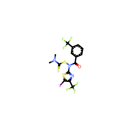 CN(C)C(=S)SN(C(=O)c1cccc(C(F)(F)F)c1)c1nc(C(F)(F)F)c(I)s1